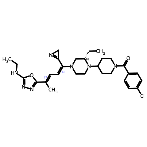 CCNc1nnc(/C(C)=C/C=C(\C2=NC2)N2CCN(C3CCN(C(=O)c4ccc(Cl)cc4)CC3)[C@@H](CC)C2)o1